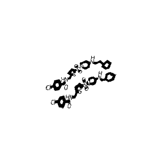 O=C(NCc1ccc(S(=O)(=O)N2CCC(NCC3CCCCC3)CC2)s1)c1ccc(Cl)cc1.O=C(NCc1ccc(S(=O)(=O)N2CCC(NCCC3CCCCC3)CC2)s1)c1ccc(Cl)cc1